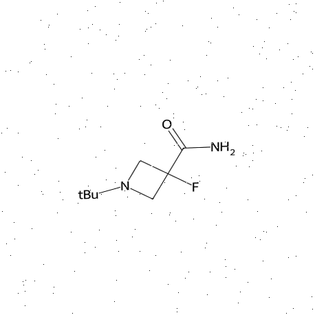 CC(C)(C)N1CC(F)(C(N)=O)C1